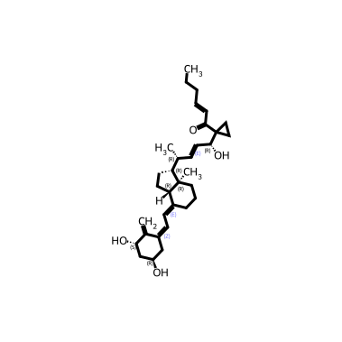 C=C1/C(=C\C=C2/CCC[C@]3(C)[C@@H]([C@H](C)/C=C/[C@@H](O)C4(C(=O)C=CCCC)CC4)CC[C@@H]23)C[C@@H](O)C[C@@H]1O